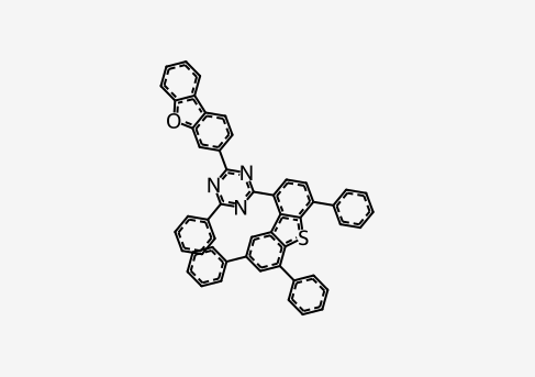 c1ccc(-c2cc(-c3ccccc3)c3sc4c(-c5ccccc5)ccc(-c5nc(-c6ccccc6)nc(-c6ccc7c(c6)oc6ccccc67)n5)c4c3c2)cc1